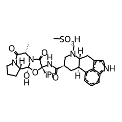 CC(C)[C@@]1(NC(=O)[C@@H]2C[C@@H]3c4cccc5[nH]cc(c45)C[C@H]3N(C)C2)O[C@@]2(O)[C@@H]3CCCN3C(=O)[C@H](C)N2C1=O.CS(=O)(=O)O